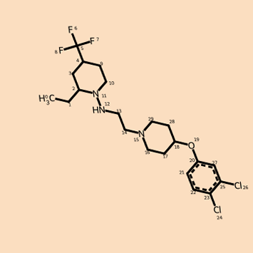 CCC1CC(C(F)(F)F)CCN1NCCN1CCC(Oc2ccc(Cl)c(Cl)c2)CC1